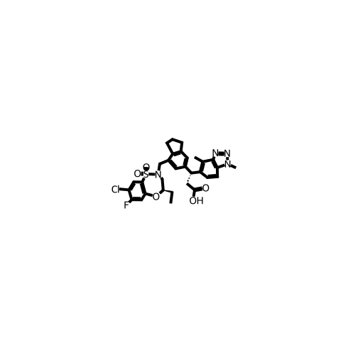 CC[C@@H]1CN(Cc2cc([C@@H](CC(=O)O)c3ccc4c(nnn4C)c3C)cc3c2CCC3)S(=O)(=O)c2cc(Cl)c(F)cc2O1